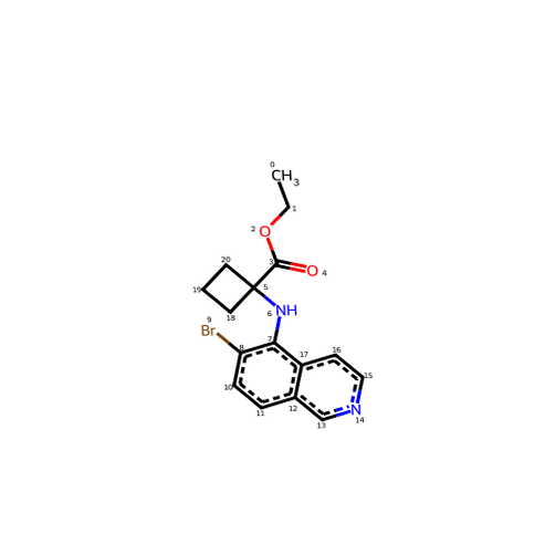 CCOC(=O)C1(Nc2c(Br)ccc3cnccc23)CCC1